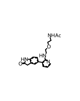 CC(=O)NCCOCCNc1ncccc1-c1ccc2c(c1)CC(=O)N2